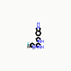 BF.c1cc[nH]c1.c1cc[nH]c1.c1cc[nH]c1.c1ccc2c[nH]cc2c1